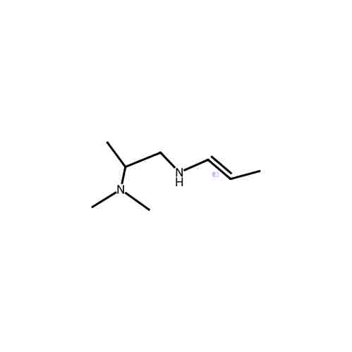 C/C=C/NCC(C)N(C)C